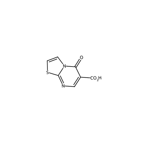 O=C(O)c1cnc2sccn2c1=O